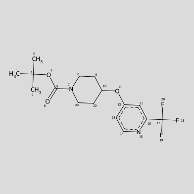 CC(C)(C)OC(=O)N1CCC(Oc2ccnc(C(F)(F)F)c2)CC1